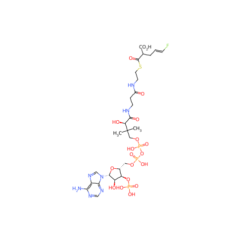 CC(C)(COP(=O)(O)OP(=O)(O)OC[C@H]1O[C@@H](n2cnc3c(N)ncnc32)[C@H](O)[C@@H]1OP(=O)(O)O)[C@@H](O)C(=O)NCCC(=O)NCCSC(=O)C(CC=CF)C(=O)O